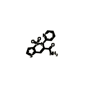 NC(=O)C1=Cc2sccc2S(=O)(=O)N1c1ccccn1